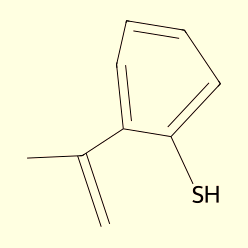 C=C(C)c1ccccc1S